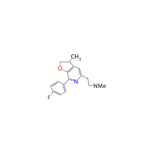 CNCCc1cc2c(c(-c3ccc(F)cc3)n1)OCC2C